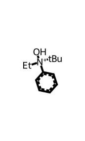 CC[N+](O)(c1ccccc1)C(C)(C)C